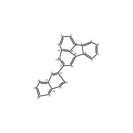 c1ccc2c(c1)-c1cccc3nc(-c4ccc5ccccc5c4)cc-2c13